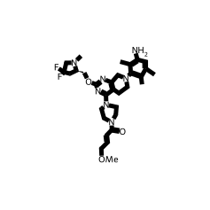 COC/C=C/C(=O)N1CCN(c2nc(OC[C@@H]3CC(F)(F)CN3C)nc3c2CCN(c2c(C)c(C)cc(N)c2C)C3)CC1